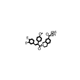 COc1ccc(C(=Cc2ccc(F)c(F)c2)C(=O)N2CCc3ccc(C(=O)NO)cc3C2)cc1